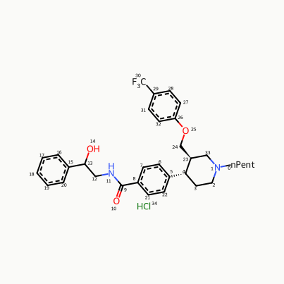 CCCCCN1CC[C@H](c2ccc(C(=O)NCC(O)c3ccccc3)cc2)[C@@H](COc2ccc(C(F)(F)F)cc2)C1.Cl